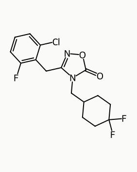 O=c1onc(Cc2c(F)cccc2Cl)n1CC1CCC(F)(F)CC1